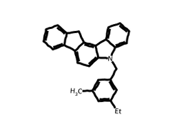 CCc1cc(C)cc(Cn2c3ccccc3c3c4c(ccc32)-c2ccccc2C4)c1